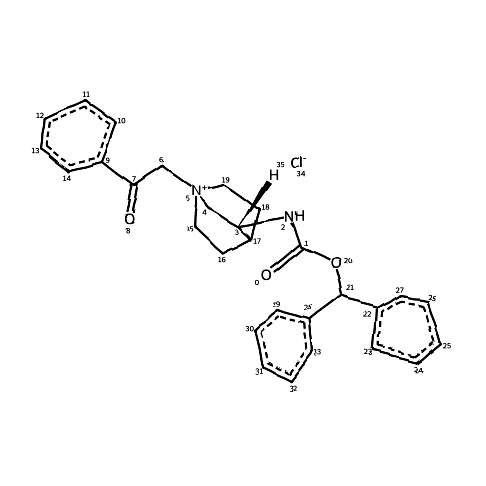 O=C(N[C@H]1C[N+]2(CC(=O)c3ccccc3)CCC1CC2)OC(c1ccccc1)c1ccccc1.[Cl-]